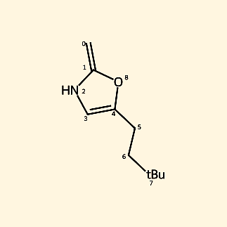 C=C1NC=C(CCC(C)(C)C)O1